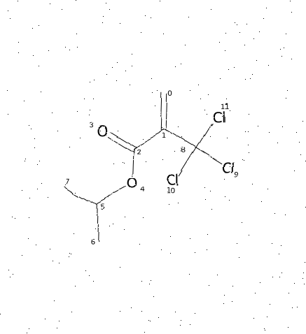 C=C(C(=O)OC(C)C)C(Cl)(Cl)Cl